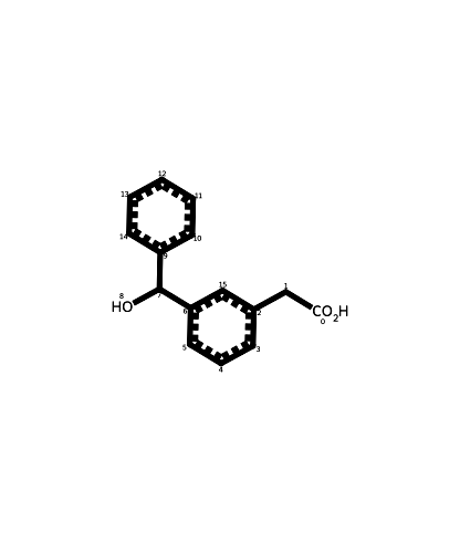 O=C(O)Cc1cccc(C(O)c2ccccc2)c1